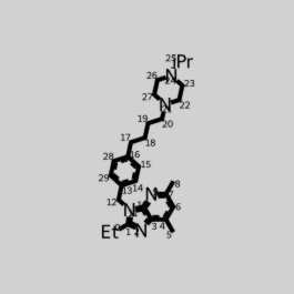 CCc1nc2c(C)cc(C)nc2n1Cc1ccc(CCCCN2CCN(C(C)C)CC2)cc1